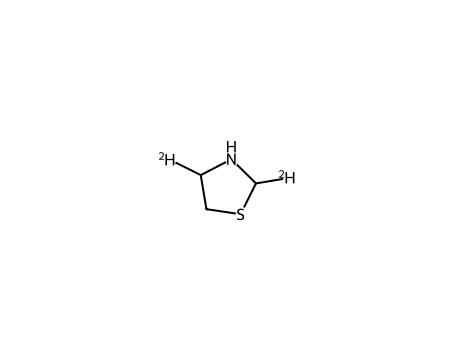 [2H]C1CSC([2H])N1